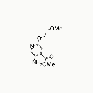 COCCOc1cc(C(=O)OC)c(N)cn1